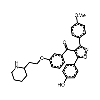 COc1ccc(-c2noc(-c3ccc(O)cc3)c2C(=O)c2cccc(OCCC3CCCCN3)c2)cc1